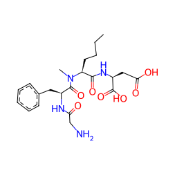 CCCC[C@@H](C(=O)N[C@@H](CC(=O)O)C(=O)O)N(C)C(=O)[C@H](Cc1ccccc1)NC(=O)CN